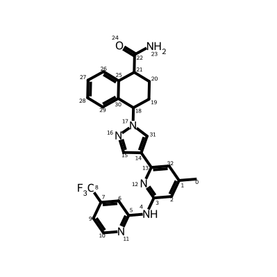 Cc1cc(Nc2cc(C(F)(F)F)ccn2)nc(-c2cnn(C3CCC(C(N)=O)c4ccccc43)c2)c1